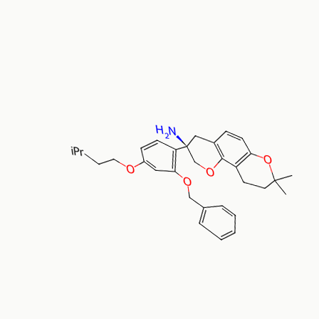 CC(C)CCOc1ccc([C@@]2(N)COc3c(ccc4c3CCC(C)(C)O4)C2)c(OCc2ccccc2)c1